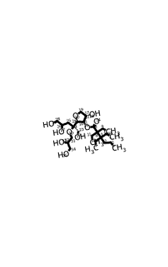 CCCC(CC)(CC)C(CC)(CC)C(=O)O[C@@H]1[C@@H](O)CO[C@@H]1[C@](CO)(CC(O)CO)OCC(O)CO